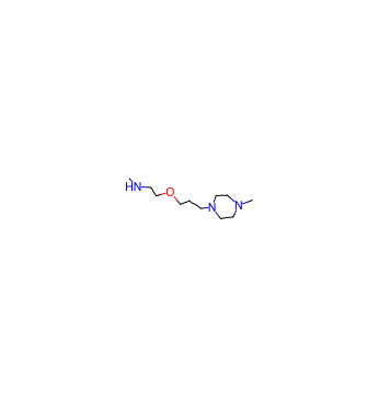 CNCCOCCCN1CCN(C)CC1